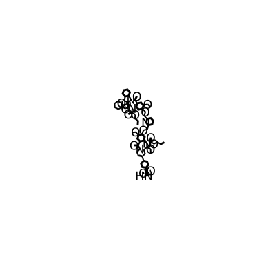 C=CCOC(=O)N1c2cc(OCc3cccc(COc4cc5c(cc4OC)C(=O)N4c6ccccc6C[C@H]4C(OC4CCCCO4)N5C(=O)OCC=C)n3)c(OC)cc2C(=O)N2CC=C(c3ccc(S(=O)(=O)NC)cc3)CC2C1OC